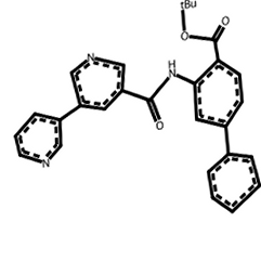 CC(C)(C)OC(=O)c1ccc(-c2ccccc2)cc1NC(=O)c1cncc(-c2cccnc2)c1